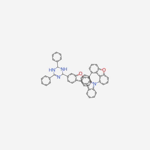 c1ccc(C2=NC(c3ccc4c(c3)oc3c(-c5cccc6oc7cccc(-n8c9ccccc9c9ccccc98)c7c56)cccc34)NC(c3ccccc3)N2)cc1